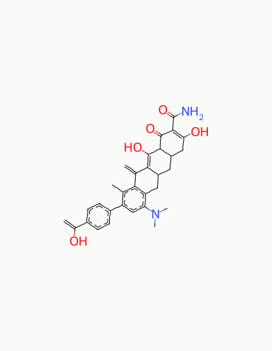 C=C(O)c1ccc(-c2cc(N(C)C)c3c(c2C)C(=C)C2=C(O)C4C(=O)C(C(N)=O)=C(O)CC4CC2C3)cc1